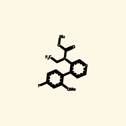 COc1cc(F)ccc1-c1ccncc1N(CC(F)(F)F)C(=O)OC(C)(C)C